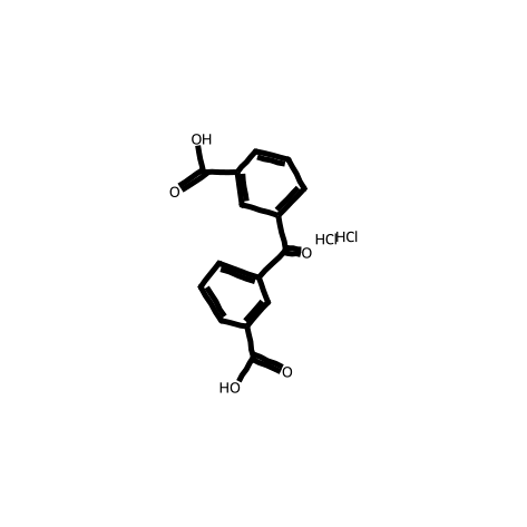 Cl.Cl.O=C(O)c1cccc(C(=O)c2cccc(C(=O)O)c2)c1